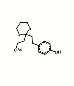 CC(=O)OCCC1(CCc2ccc(O)cc2)SCCCS1